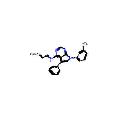 COCCNc1ncnc2c1c(-c1ccccc1)cn2-c1cccc(C(C)(C)C)c1